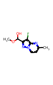 COC(O)c1nn2ccc(C)nc2c1F